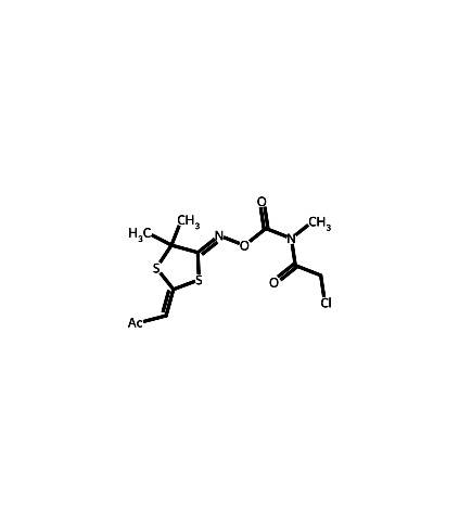 CC(=O)C=C1SC(=NOC(=O)N(C)C(=O)CCl)C(C)(C)S1